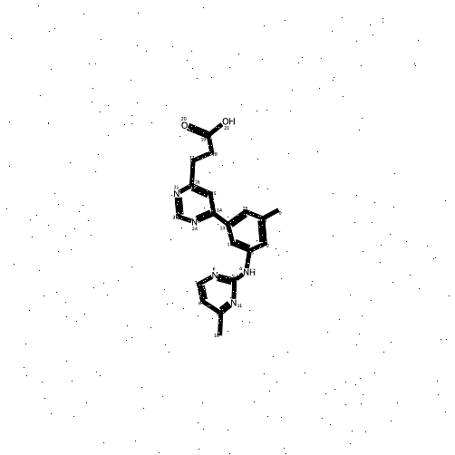 Cc1cc(Nc2nccc(C)n2)cc(-c2cc(CCC(=O)O)ncn2)c1